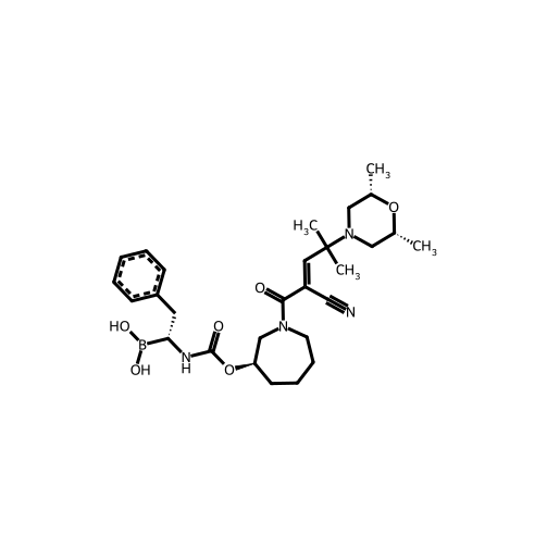 C[C@@H]1CN(C(C)(C)/C=C(\C#N)C(=O)N2CCCC[C@@H](OC(=O)N[C@@H](Cc3ccccc3)B(O)O)C2)C[C@H](C)O1